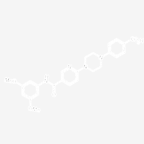 COc1cc(NC(=O)c2ccc(N3CCN(c4ccc(C(=O)O)cc4)CC3)nc2)cc(OC)c1